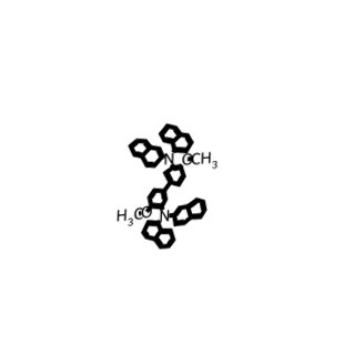 COc1ccc(-c2ccc(OC)c(N(c3ccc4ccccc4c3)c3cccc4ccccc34)c2)cc1N(c1ccc2ccccc2c1)c1cccc2ccccc12